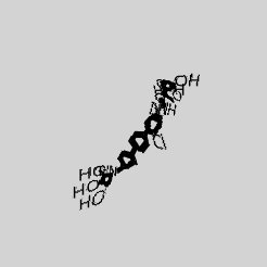 OC[C@H]1C[C@@H](NCc2ccc(-c3ccc(-c4cc5nc(O[C@@H]6CO[C@H]7[C@@H]6OC[C@H]7O)[nH]c5cc4Cl)cc3)cc2)[C@H](O)[C@@H]1O